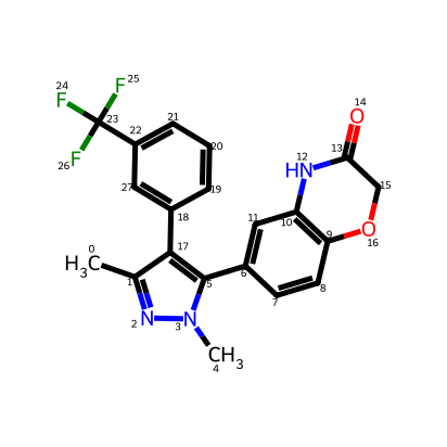 Cc1nn(C)c(-c2ccc3c(c2)NC(=O)CO3)c1-c1cccc(C(F)(F)F)c1